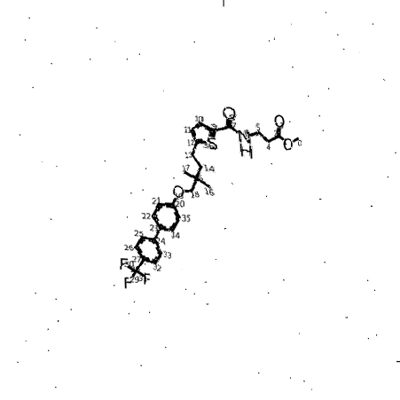 COC(=O)CCNC(=O)c1ccc(CCC(C)(C)COc2ccc(-c3ccc(C(F)(F)F)cc3)cc2)s1